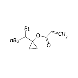 C=CC(=O)OC1(C(CC)CCCC)CC1